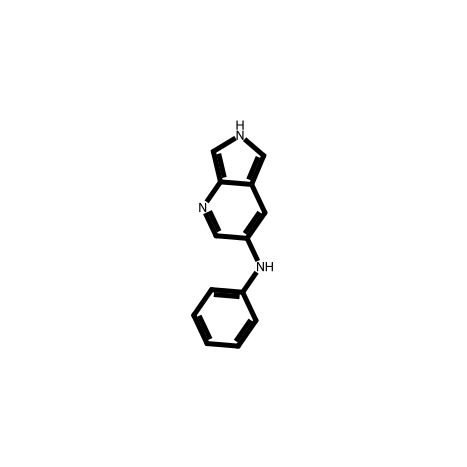 c1ccc(Nc2cnc3c[nH]cc3c2)cc1